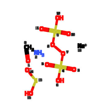 C=O.N.O=S(=O)(O)OOS(=O)(=O)O.[Na+].[O-]SO